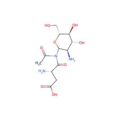 CC(=O)N(C(=O)[C@@H](N)CC(=O)O)C1O[C@H](CO)[C@@H](O)[C@H](O)[C@H]1N